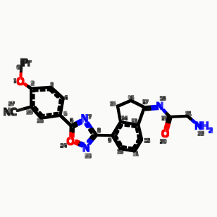 CC(C)Oc1ccc(-c2nc(-c3cccc4c3CC/C4=N/C(=O)CN)no2)cc1C#N